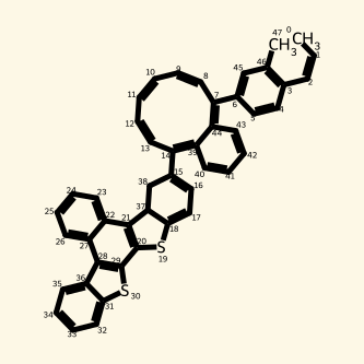 C/C=C\c1ccc(-c2ccccccc(C3=CC=C4Sc5c(c6ccccc6c6c5sc5ccccc56)C4C3)c3ccccc23)cc1C